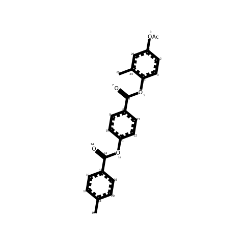 CC(=O)Oc1ccc(OC(=O)c2ccc(OC(=O)c3ccc(C)cc3)cc2)c(C)c1